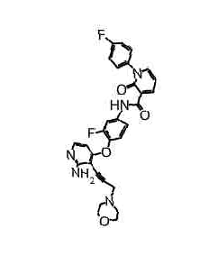 Nc1nccc(Oc2ccc(NC(=O)c3cccn(-c4ccc(F)cc4)c3=O)cc2F)c1C#CCN1CCOCC1